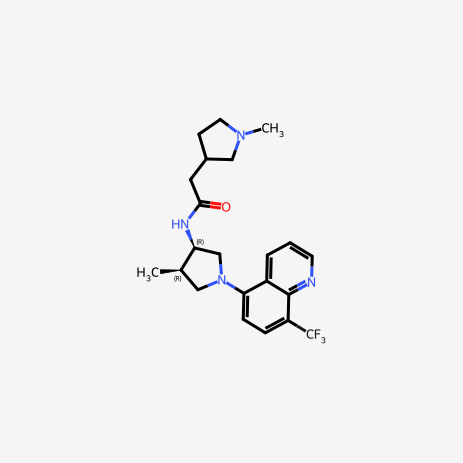 C[C@@H]1CN(c2ccc(C(F)(F)F)c3ncccc23)C[C@@H]1NC(=O)CC1CCN(C)C1